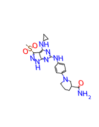 CS(=O)(=O)c1n[nH]c2nc(Nc3ccc(N4CCCC(C(N)=O)C4)cc3)nc(NC3CC3)c12